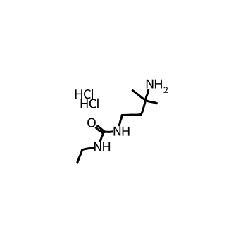 CCNC(=O)NCCC(C)(C)N.Cl.Cl